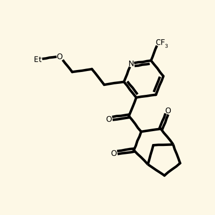 CCOCCCc1nc(C(F)(F)F)ccc1C(=O)C1C(=O)C2CCC(C2)C1=O